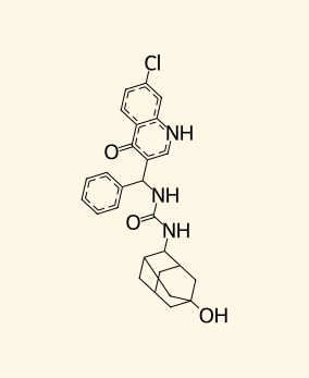 O=C(NC(c1ccccc1)c1c[nH]c2cc(Cl)ccc2c1=O)NC1C2CC3CC1CC(O)(C3)C2